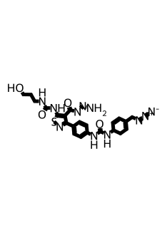 [N-]=[N+]=NCC1=CCC(NC(=O)Nc2ccc(-c3nsc(NC(=O)NCCCO)c3C(=O)N=NN)cc2)C=C1